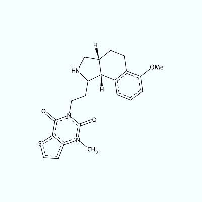 COc1cccc2c1CC[C@H]1CNC(CCn3c(=O)c4sccc4n(C)c3=O)[C@@H]21